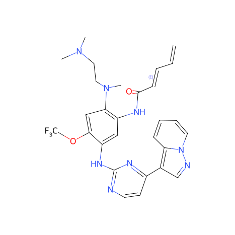 C=C/C=C/C(=O)Nc1cc(Nc2nccc(-c3cnn4ccccc34)n2)c(OC(F)(F)F)cc1N(C)CCN(C)C